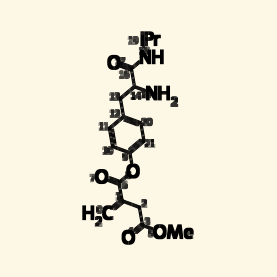 C=C(CC(=O)OC)C(=O)Oc1ccc(CC(N)C(=O)NC(C)C)cc1